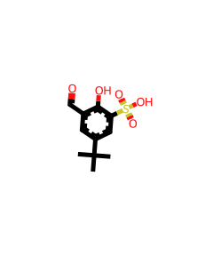 CC(C)(C)c1cc(C=O)c(O)c(S(=O)(=O)O)c1